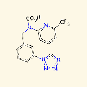 O=C(O)N(Cc1cccc(-n2cnnn2)c1)c1cccc(C(F)(F)F)n1